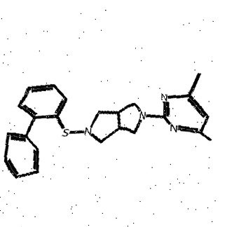 Cc1cc(C)nc(N2CC3CN(Sc4ccccc4-c4ccccc4)CC3C2)n1